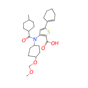 COCOC1CCC(N(C(=O)C2CCC(C)CC2)c2cc(C3=CCCCC3)sc2C(=O)O)CC1